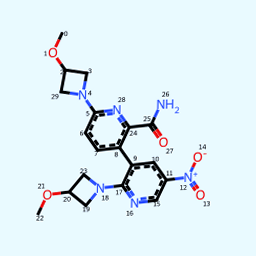 COC1CN(c2ccc(-c3cc([N+](=O)[O-])cnc3N3CC(OC)C3)c(C(N)=O)n2)C1